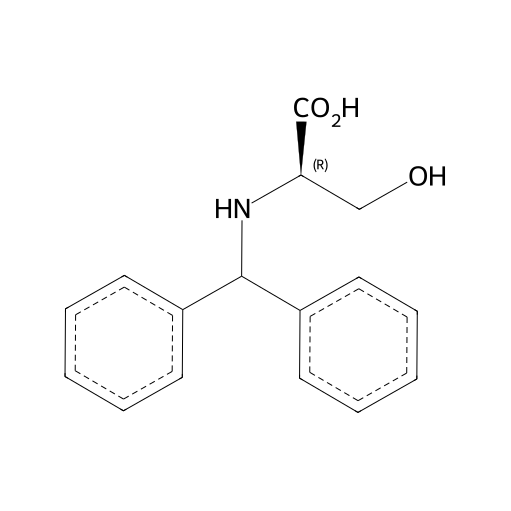 O=C(O)[C@@H](CO)NC(c1ccccc1)c1ccccc1